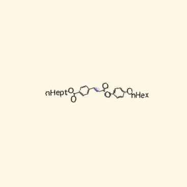 [CH2]CCCCCCOC(=O)c1ccc(/C=C/C(=O)Oc2ccc(OCCCCCC)cc2)cc1